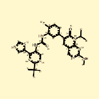 CNc1ncc2cc(-c3ccc(F)c(NC(=O)Nc4cnc(C(C)(C)C)nc4-c4cncs4)c3)c(=O)n(C(C)C)c2n1